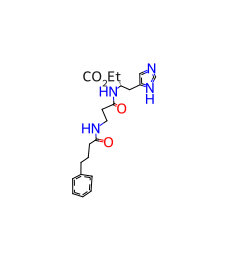 CCOC(=O)[C@H](Cc1cnc[nH]1)NC(=O)CCNC(=O)CCCc1ccccc1